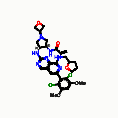 C=CC(=O)N[C@H]1CN(C2COC2)C[C@H]1Nc1ncc2cc(-c3c(Cl)c(OC)cc(OC)c3Cl)nc(NCC3CCCO3)c2n1